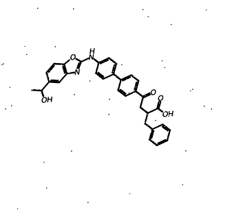 CC(O)c1ccc2oc(Nc3ccc(-c4ccc(C(=O)CC(Cc5ccccc5)C(=O)O)cc4)cc3)nc2c1